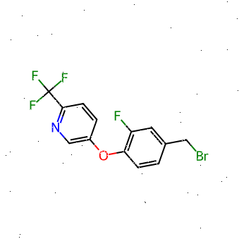 Fc1cc(CBr)ccc1Oc1ccc(C(F)(F)F)nc1